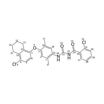 Cc1cc(Oc2ccc(Cl)c3c2CCCC3)c(C)cc1NC(=O)NC(=O)c1ccccc1Cl